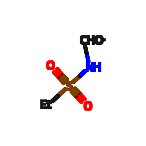 [CH2]CS(=O)(=O)N[C]=O